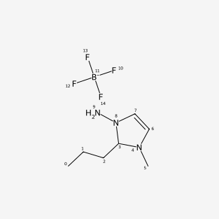 CCCC1N(C)C=CN1N.F[B-](F)(F)F